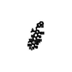 CN(C)c1c(CN2CC3CCC[C@H]3C2)cc(O)c2c1C[C@H]1C[C@H]3[C@H](N(C)C)C(O)=C(C(N)=O)C(=O)[C@@]3(O)C(O)=C1C2=O